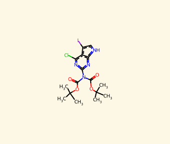 CC(C)(C)OC(=O)N(C(=O)OC(C)(C)C)c1nc(Cl)c2c(I)c[nH]c2n1